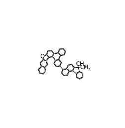 CC1(C)c2ccccc2-c2c1ccc1c(-c3ccc4c(c3)c3ccccc3c3ccc5oc6cc7ccccc7cc6c5c34)cccc21